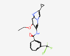 CCOc1cc2nc(C3CC3)cn2cc1NC(=O)c1cccc(C(F)(F)F)c1